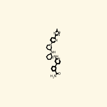 Cc1nc(-c2ccc(N3CCC[C@H](N[C@@H]4CCCC[C@H]4Nc4cc(-c5cccc(C(N)=O)c5)ccn4)C3)cn2)no1